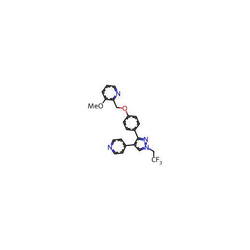 COc1cccnc1COc1ccc(-c2nn(CC(F)(F)F)cc2-c2ccncc2)cc1